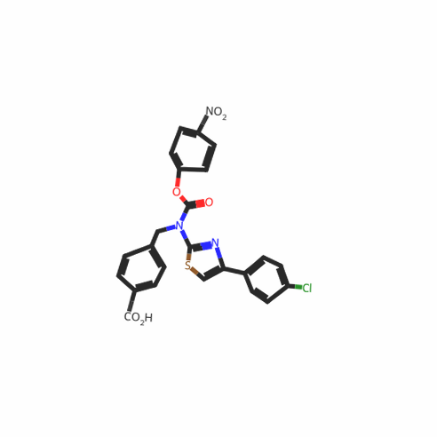 O=C(O)c1ccc(CN(C(=O)Oc2ccc([N+](=O)[O-])cc2)c2nc(-c3ccc(Cl)cc3)cs2)cc1